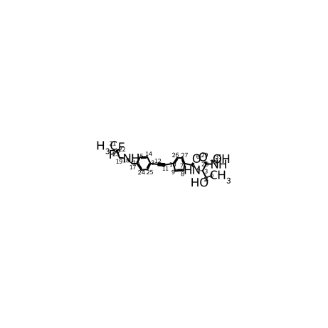 C[C@@H](O)[C@H](NC(=O)c1ccc(C#Cc2ccc(CNCC(C)(F)F)cc2)cc1)C(=O)NO